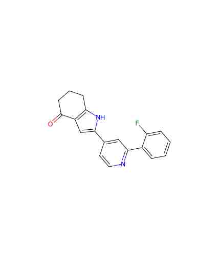 O=C1CCCc2[nH]c(-c3ccnc(-c4ccccc4F)c3)cc21